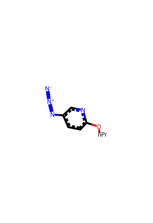 CCCOc1ccc(N=[N+]=[N-])cn1